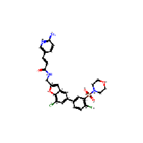 Nc1ccc(C=CC(=O)NCc2cc3cc(-c4ccc(F)c(S(=O)(=O)N5CCOCC5)c4)cc(Cl)c3o2)cn1